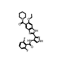 CCOc1cc2[nH]c(-c3n[nH]cc3NC(=O)c3c(F)cccc3F)nc2cc1C(=O)N1CCCCC1